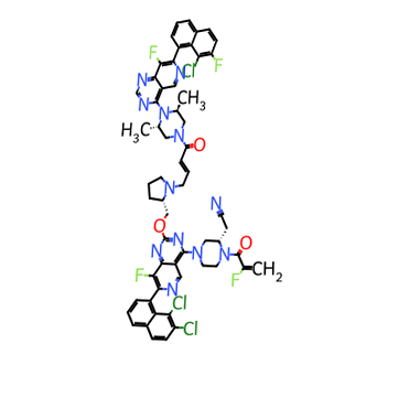 C=C(F)C(=O)N1CCN(c2nc(OC[C@@H]3CCCN3C/C=C/C(=O)N3C[C@H](C)N(c4ncnc5c(F)c(-c6cccc7ccc(F)c(Cl)c67)ncc45)[C@@H](C)C3)nc3c(F)c(-c4cccc5ccc(Cl)c(Cl)c45)ncc23)C[C@@H]1CC#N